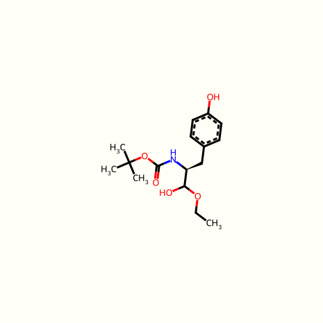 CCOC(O)[C@H](Cc1ccc(O)cc1)NC(=O)OC(C)(C)C